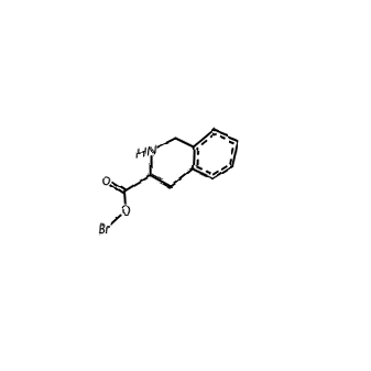 O=C(OBr)C1Cc2ccccc2CN1